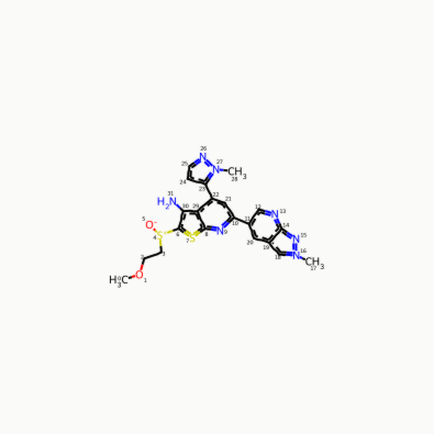 COCC[S+]([O-])c1sc2nc(-c3cnc4nn(C)cc4c3)cc(-c3ccnn3C)c2c1N